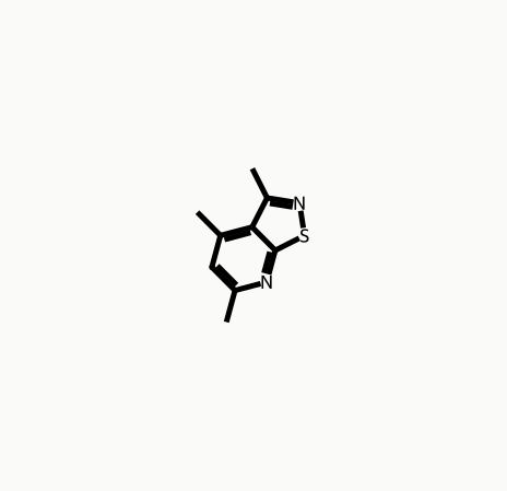 Cc1cc(C)c2c(C)nsc2n1